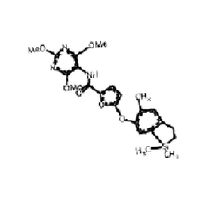 COc1nc(OC)c(NC(=O)c2ccc(Oc3cc4c(cc3C)CC[Si]4(C)C)o2)c(OC)n1